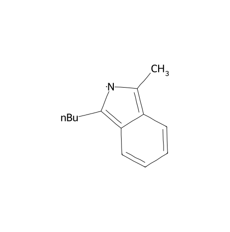 CCCCC1=c2ccccc2=C(C)[N]1